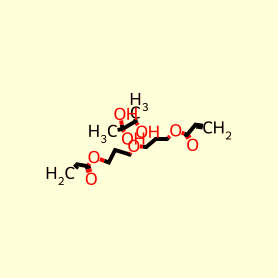 C=CC(=O)OCCCOCCCOC(=O)C=C.CC(O)C(C)(O)O